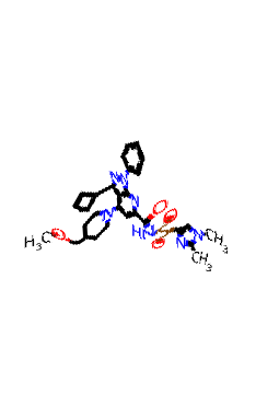 COCC1CCN(c2cc(C(=O)NS(=O)(=O)c3cn(C)c(C)n3)nc3c2c(C2CCC2)nn3-c2ccccc2)CC1